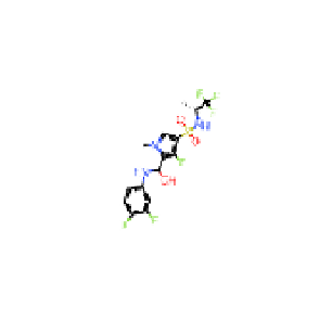 C[C@@H](NS(=O)(=O)c1cn(C)c(C(O)Nc2ccc(F)c(F)c2)c1F)C(F)(F)F